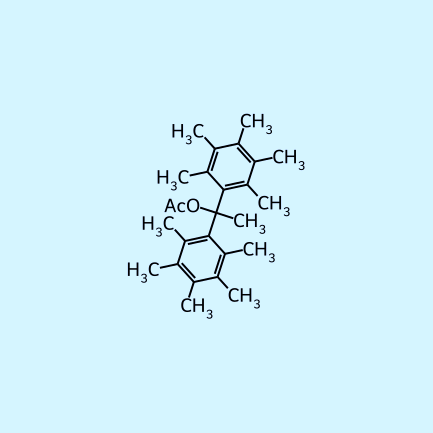 CC(=O)OC(C)(c1c(C)c(C)c(C)c(C)c1C)c1c(C)c(C)c(C)c(C)c1C